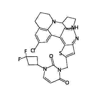 O=c1ccn(C2CC(F)(F)C2)c(=O)n1Cc1cc2nccc(-c3cc(Cl)cc4c3N(C3CCNC3)CCC4)c2s1